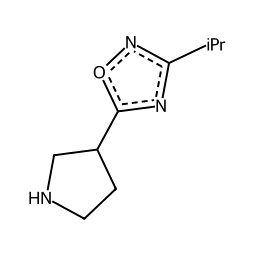 CC(C)c1noc(C2CCNC2)n1